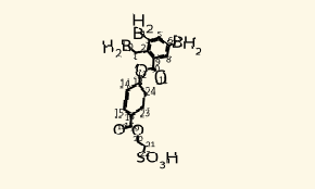 BCc1c(B)cc(B)cc1C(=O)OC1C=CC(C(=O)OCCS(=O)(=O)O)CC1